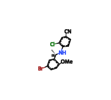 COc1ccc(Br)cc1[C@H](C)Nc1ccc(C#N)cc1Cl